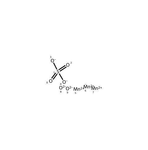 O=S(=O)([O-])[O-].[Mn+2].[Mn+2].[Mn+2].[O-2].[O-2]